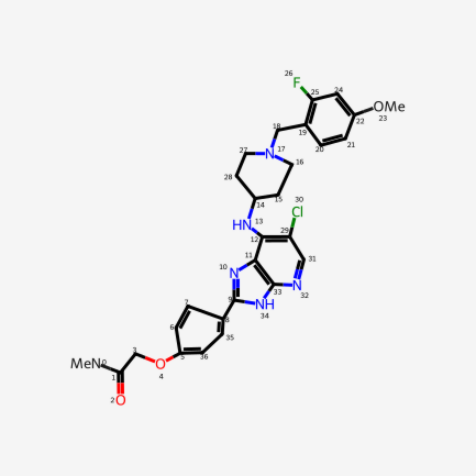 CNC(=O)COc1ccc(-c2nc3c(NC4CCN(Cc5ccc(OC)cc5F)CC4)c(Cl)cnc3[nH]2)cc1